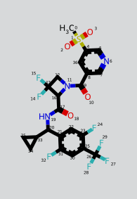 CS(=O)(=O)c1cncc(C(=O)N2CC(F)(F)C2C(=O)NC(c2cc(F)c(C(F)(F)F)cc2F)C2CC2)c1